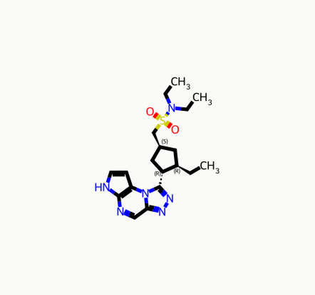 CC[C@@H]1C[C@H](CS(=O)(=O)N(CC)CC)C[C@H]1c1nnc2cnc3[nH]ccc3n12